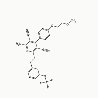 COCCOc1ccc(-c2c(C#N)c(N)nc(SCC3=CC=CC(OC(F)(F)F)C3)c2C#N)cc1